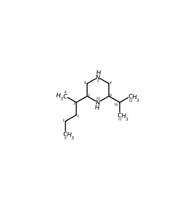 CCCC(C)C1CNCC(C(C)C)N1